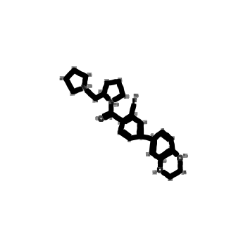 O=C(c1ccc(-c2ccc3c(c2)OCCO3)cc1F)N1CCCC1CN1CCCC1